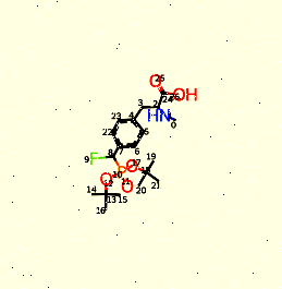 CN[C@@H](Cc1ccc(C(F)P(=O)(OC(C)(C)C)OC(C)(C)C)cc1)C(=O)O